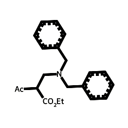 CCOC(=O)C(CN(Cc1ccccc1)Cc1ccccc1)C(C)=O